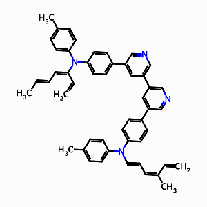 C=C/C(C)=C\C=C\N(c1ccc(C)cc1)c1ccc(-c2cncc(-c3cncc(-c4ccc(N(/C(C=C)=C/C=C/C)c5ccc(C)cc5)cc4)c3)c2)cc1